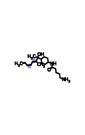 C=C/C=C\C=C(/C)C(C)(O)C1CCC(NC(=O)CCCCN)CC1